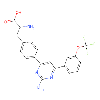 Nc1nc(-c2ccc(CC(N)C(=O)O)cc2)cc(-c2cccc(OC(F)(F)F)c2)n1